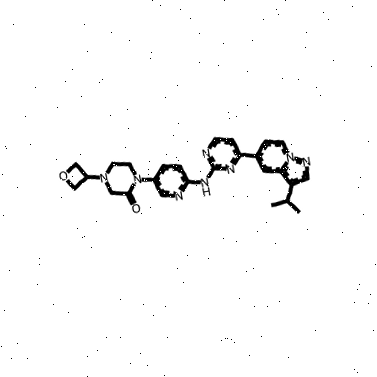 CC(C)c1cnn2ccc(-c3ccnc(Nc4ccc(N5CCN(C6COC6)CC5=O)cn4)n3)cc12